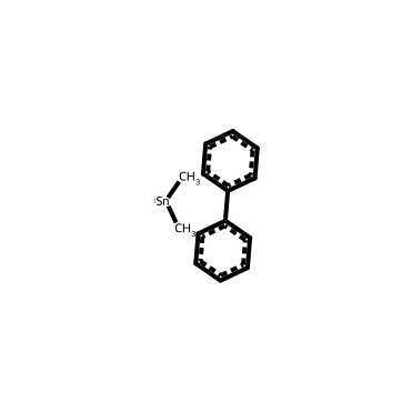 [CH3][Sn][CH3].c1ccc(-c2ccccc2)cc1